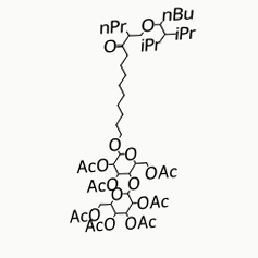 CCCCC(OCC(CCC)C(=O)CCCCCCCCCOC1OC(COC(C)=O)C(OC2OC(COC(C)=O)C(OC(C)=O)C(OC(C)=O)C2OC(C)=O)C(OC(C)=O)C1OC(C)=O)C(C(C)C)C(C)C